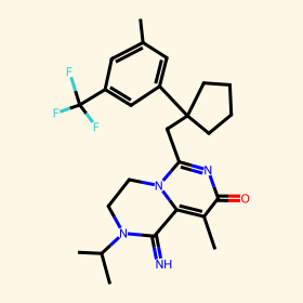 Cc1cc(C(F)(F)F)cc(C2(Cc3nc(=O)c(C)c4n3CCN(C(C)C)C4=N)CCCC2)c1